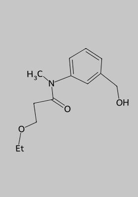 CCOCCC(=O)N(C)c1cccc(CO)c1